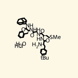 CSCC[C@@H](NC(=O)[C@@H](N)Cc1ccc(C(C)(C)C)cc1)C(=O)NCC(=O)N[C@@H](Cc1ccccc1)C(=O)NC1C2CC3CC(C2)CC1C3.Cl.O